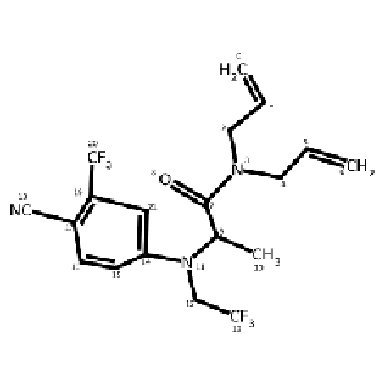 C=CCN(CC=C)C(=O)C(C)N(CC(F)(F)F)c1ccc(C#N)c(C(F)(F)F)c1